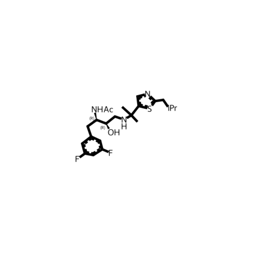 CC(=O)N[C@H](Cc1cc(F)cc(F)c1)[C@H](O)CNC(C)(C)c1cnc(CC(C)C)s1